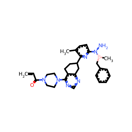 C=CC(=O)N1CCN(c2ncnc3c2CCC(c2nc(N(N)B(C)Cc4ccccc4)ccc2C)C3)CC1